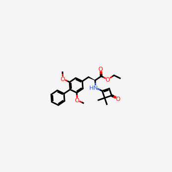 CCOC(=O)[C@H](Cc1cc(OC)c(-c2ccccc2)c(OC)c1)NC1=CC(=O)C1(C)C